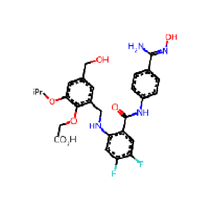 CC(C)Oc1cc(CO)cc(CNc2cc(F)c(F)cc2C(=O)Nc2ccc(/C(N)=N/O)cc2)c1OCC(=O)O